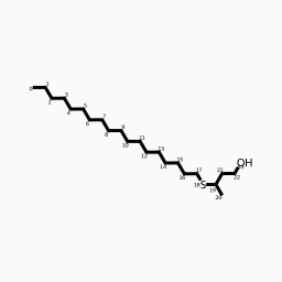 CCCCCCCCCCCCCCCCCCSC(C)CCO